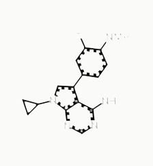 CNc1ccc(-c2cn(C3CC3)c3ncnc(N)c23)cc1F